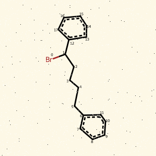 BrC(CCCCc1ccccc1)c1ccccc1